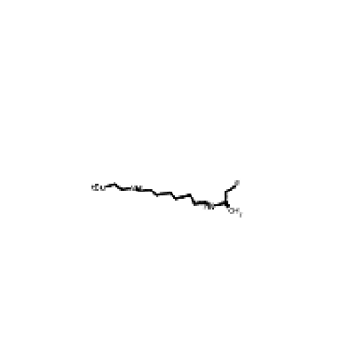 C=C(CF)NCCCCCCCCNCCC(C)(C)C